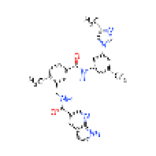 Cc1cn(-c2cc(NC(=O)c3ccc(C)c(CNC(=O)c4cnc5[nH]ccc5c4)c3)cc(C(F)(F)F)c2)cn1